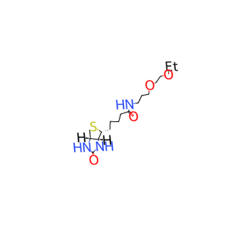 CCOCCOCCCNC(=O)CCCC[C@H]1SC[C@H]2NC(=O)N[C@H]21